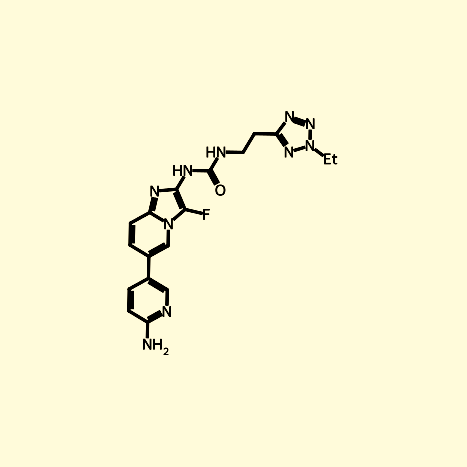 CCn1nnc(CCNC(=O)Nc2nc3ccc(-c4ccc(N)nc4)cn3c2F)n1